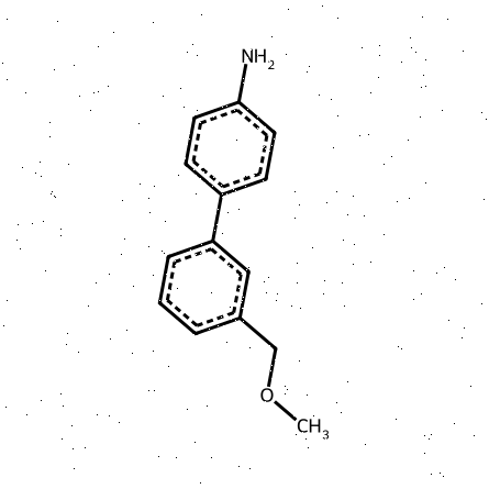 COCc1cccc(-c2ccc(N)cc2)c1